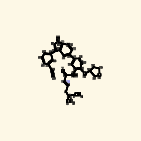 CN(C)C/C=C/C(=O)Nc1cc(-c2cnc3[nH]cc(-c4cccc(C#N)c4)c3c2)cnc1OC1CCOC1